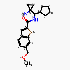 COCc1ccc2cc(C(=O)NC(C3CCCC3)C3(N)CC3)sc2c1